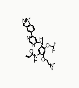 C=CC(=O)Nc1cc(Nc2cc(-c3ccc4c(cnn4C)c3)ncn2)c(OC(F)F)cc1OCCN(C)C